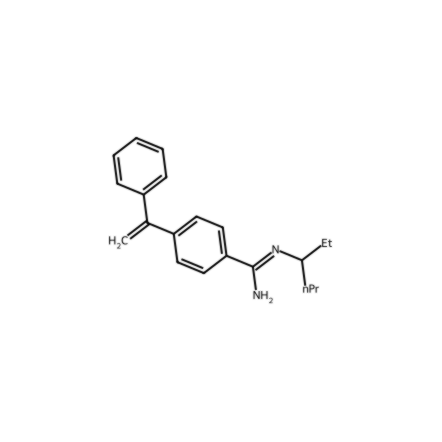 C=C(c1ccccc1)c1ccc(C(N)=NC(CC)CCC)cc1